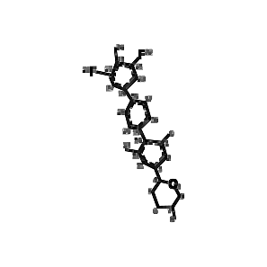 Cc1cc(C2CCC(C)CO2)cc(C)c1-c1ccc(-c2cc(F)c(C)c(F)c2)cc1